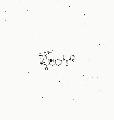 CCCNc1c(NC(Cc2ccc(NC(=O)c3cccs3)cc2)C(=O)O)c(=O)c1=O